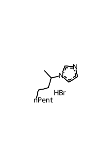 Br.CCCCCCCC(C)n1ccnc1